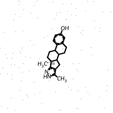 Cc1[nH]nc2c1CC1C3CCc4cc(O)ccc4C3CC[C@]21C